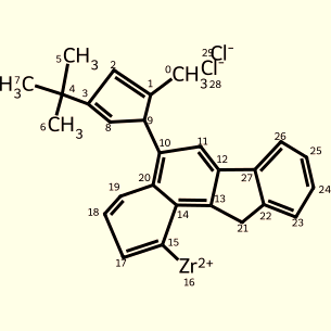 CC1=CC(C(C)(C)C)=CC1c1cc2c(c3[c]([Zr+2])cccc13)Cc1ccccc1-2.[Cl-].[Cl-]